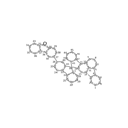 c1ccc2c(c1)-c1cccc3c4c(cc-2c13)C1(c2ccccc2-c2ccc(-c3ccc5oc6ccccc6c5c3)cc21)c1ccccc1-4